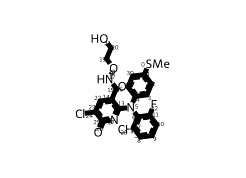 CSc1ccc(N(c2ccccc2F)c2c(C(=O)NOCCO)cc(Cl)c(=O)n2C)cc1